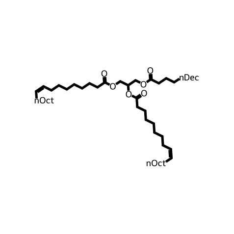 CCCCCCCC/C=C\CCCCCCCC(=O)OCC(COC(=O)CCCCCCCCCCCCC)OC(=O)CCCCCCC/C=C\CCCCCCCC